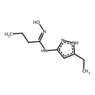 CCCC(=NO)Nc1cc(CC)[nH]n1